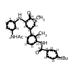 CC(=O)Nc1cccc(Nc2cc(-c3cccc(NC(=O)c4ccc(C(C)(C)C)cc4)c3C)cn(C)c2=O)c1